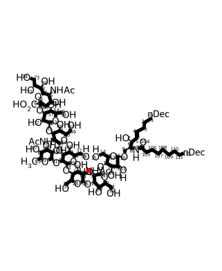 CCCCCCCCCCCCC/C=C/[C@@H](O)[C@H](CO[C@@H]1OC(CO)[C@@H](O[C@@H]2OC(CO)[C@H](O)[C@H](O[C@@H]3OC(CO)[C@@H](O[C@@H]4OC(CO)[C@H](O)[C@H](O[C@H]5OC(CO)[C@H](O)[C@H](O[C@@H]6OC(CO)[C@H](O)[C@H](O[C@]7(C(=O)O)CC(O)[C@@H](NC(C)=O)C([C@H](O)[C@H](O)CO)O7)C6O)C5NC(C)=O)C4O[C@H]4OC(C)[C@@H](O)C(O)[C@@H]4O)[C@H](O)C3NC(C)=O)C2O)[C@H](O)C1O)NC(=O)CCCCCCCCCCCCCCCCC